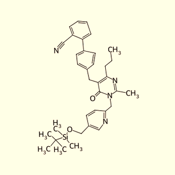 CCCc1nc(C)n(Cc2ccc(CO[Si](C)(C)C(C)(C)C)cn2)c(=O)c1Cc1ccc(-c2ccccc2C#N)cc1